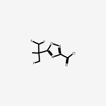 CC(CF)(c1nc(C(=O)Cl)no1)C(F)F